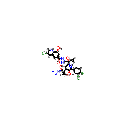 COc1cc(C(=O)NCC(O)(c2cc3c(c(-c4ccc(F)c(Cl)c4)n2)OC2C[C@@]32C(N)=O)C2CC2)cc2cc(Cl)cnc12